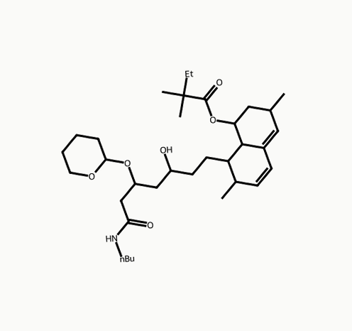 CCCCNC(=O)CC(CC(O)CCC1C(C)C=CC2=CC(C)CC(OC(=O)C(C)(C)CC)C21)OC1CCCCO1